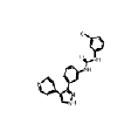 O=C(Nc1cccc(Cl)c1)Nc1cccc(-c2n[nH]cc2-c2ccncc2)c1